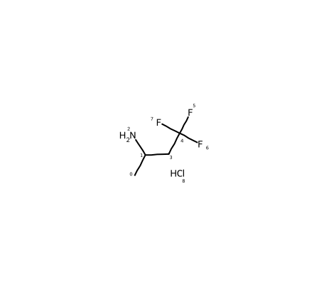 CC(N)CC(F)(F)F.Cl